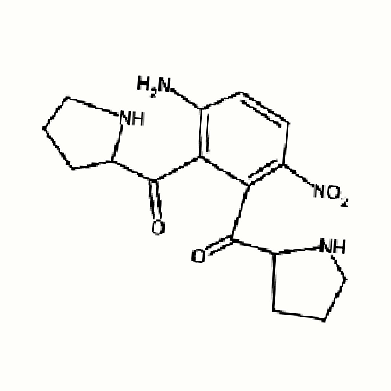 Nc1ccc([N+](=O)[O-])c(C(=O)C2CCCN2)c1C(=O)C1CCCN1